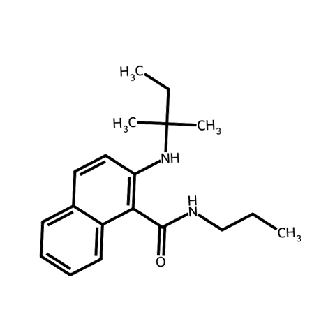 CCCNC(=O)c1c(NC(C)(C)CC)ccc2ccccc12